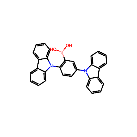 OB(O)c1cc(-n2c3ccccc3c3ccccc32)ccc1-n1c2ccccc2c2ccccc21